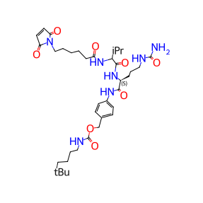 CC(C)C(NC(=O)CCCCCN1C(=O)C=CC1=O)C(=O)N[C@@H](CCCNC(N)=O)C(=O)Nc1ccc(COC(=O)NCCCCC(C)(C)C)cc1